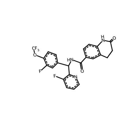 O=C1CCc2cc(C(=O)NC(c3ccc(OC(F)(F)F)c(F)c3)c3ncccc3F)ccc2N1